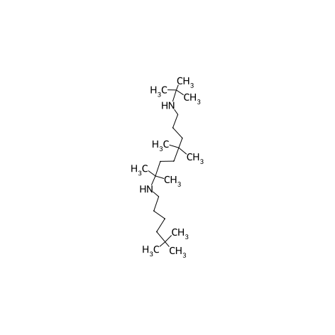 CC(C)(C)CCCCNC(C)(C)CCC(C)(C)CCCNC(C)(C)C